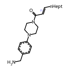 CCCCCCC/C=C/C(=O)N1CCN(c2ccc(CN)cc2)CC1